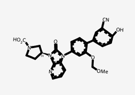 COCOc1cc(-n2c(=O)n([C@H]3CCN(C(=O)O)C3)c3ncccc32)ccc1-c1ccc(O)c(C#N)c1